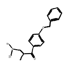 CCN(CC)CC(C)C(=O)c1ccc(OCc2ccccc2)cc1